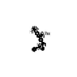 CC(C)(C)OC(=O)Nc1ccc2c(c1)cc(-c1ccc(-c3cnc([C@@H]4CCCN4C(=O)OCc4ccccc4)[nH]3)cc1)n2C(=O)OC(C)(C)C